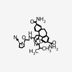 CC(C)c1nnc(C2(CCNCC(=O)N3CCC[C@H]3C#N)c3ccc(C(N)=O)cc3CCc3cc(C(N)=O)ccc32)o1